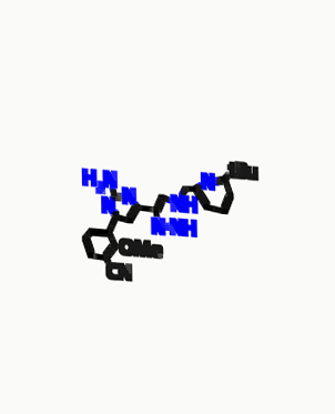 COc1c(C#N)cccc1-c1cc(/C(=C/NCc2cccc(C(C)(C)C)n2)N=N)nc(N)n1